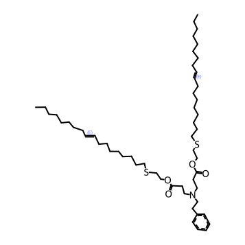 CCCCCCCC/C=C/CCCCCCCCSCCOC(=O)CCN(CCC(=O)OCCSCCCCCCCC/C=C/CCCCCCCC)CCc1ccccc1